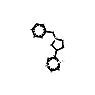 c1ccc(CN2CCC(c3cnccn3)C2)cc1